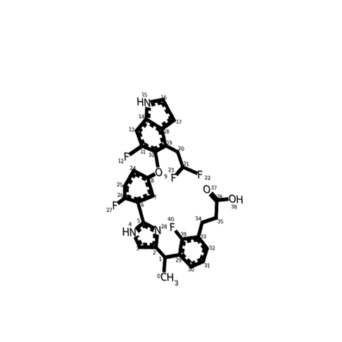 CC(c1c[nH]c(-c2cc(Oc3c(F)cc4[nH]ccc4c3CC(F)F)ccc2F)n1)c1cccc(CCC(=O)O)c1F